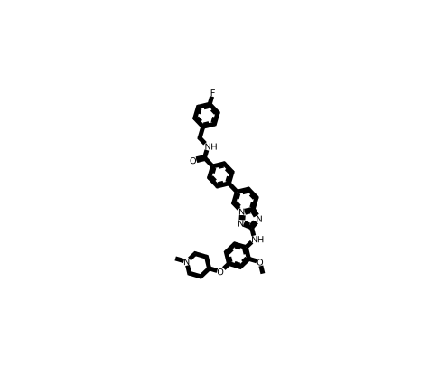 COc1cc(OC2CCN(C)CC2)ccc1Nc1nc2ccc(-c3ccc(C(=O)NCc4ccc(F)cc4)cc3)cn2n1